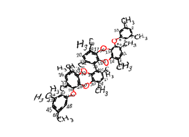 Cc1cc(C)cc(Oc2c(C)cc(C)c3c2Oc2c(C)cc(C)c(-c4c(C)cc(C)c5c4Oc4c(C)cc(C)c(Oc6cc(C)cc(C)c6)c4O5)c2O3)c1